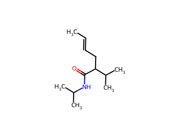 C/C=C/CC(C(=O)NC(C)C)C(C)C